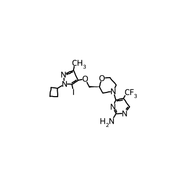 Cc1nn(C2CCC2)c(I)c1OC[C@@H]1CN(c2nc(N)ncc2C(F)(F)F)CCO1